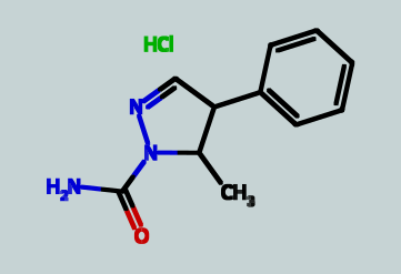 CC1C(c2ccccc2)C=NN1C(N)=O.Cl